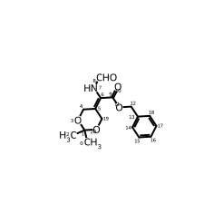 CC1(C)OCC(=C(NC=O)C(=O)OCc2ccccc2)CO1